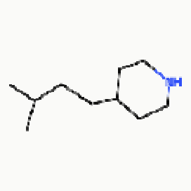 CC(C)CCC1CCNCC1